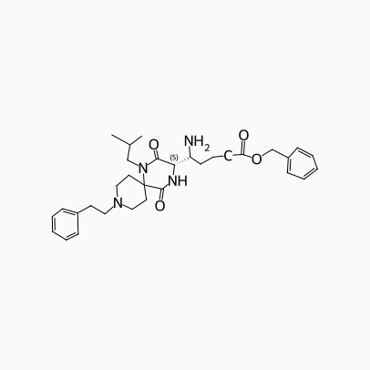 CC(C)CN1C(=O)[C@H](C(N)CCCC(=O)OCc2ccccc2)NC(=O)C12CCN(CCc1ccccc1)CC2